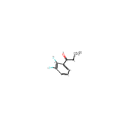 CCOC(=O)CC(=O)c1cccc(F)c1F